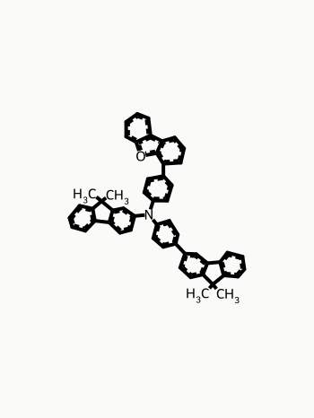 CC1(C)c2ccccc2-c2cc(-c3ccc(N(c4ccc(-c5cccc6c5oc5ccccc56)cc4)c4ccc5c(c4)C(C)(C)c4ccccc4-5)cc3)ccc21